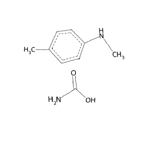 CNc1ccc(C)cc1.NC(=O)O